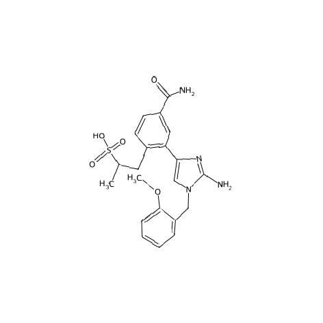 COc1ccccc1Cn1cc(-c2cc(C(N)=O)ccc2CC(C)S(=O)(=O)O)nc1N